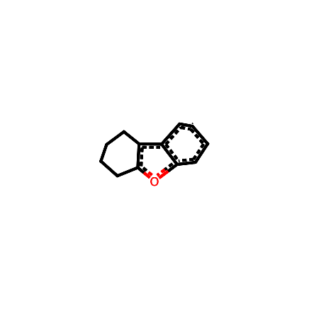 [c]1ccc2oc3c(c2c1)CCCC3